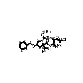 CC(C)(C)OC(=O)N1C[C@H](OCc2ccccc2)CC1(C(=O)Nc1nnc(Cl)cc1Br)C(F)F